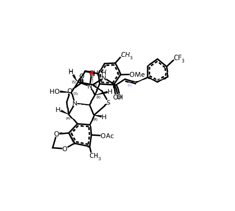 COc1c(C)cc2c(c1O)[C@@H]1C3[C@@H]4SC[C@H](NC(=O)/C=C/c5ccc(C(F)(F)F)cc5)C(=O)OC[C@@H](c5c6c(c(C)c(OC(C)=O)c54)OCO6)N3[C@@H](O)[C@H](C2)N1C